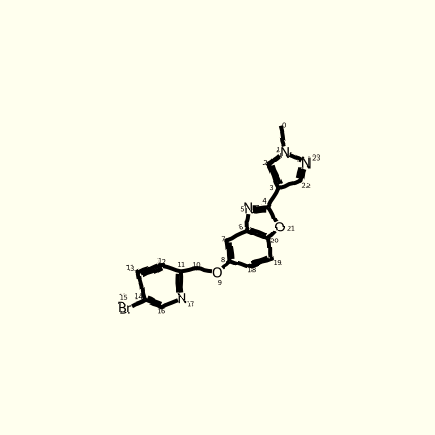 Cn1cc(-c2nc3cc(OCc4ccc(Br)cn4)ccc3o2)cn1